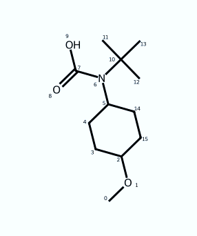 COC1CCC(N(C(=O)O)C(C)(C)C)CC1